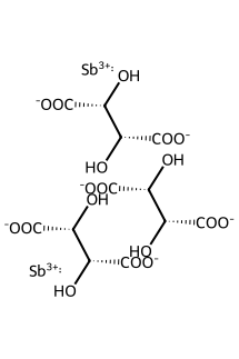 O=C([O-])[C@H](O)[C@@H](O)C(=O)[O-].O=C([O-])[C@H](O)[C@@H](O)C(=O)[O-].O=C([O-])[C@H](O)[C@@H](O)C(=O)[O-].[Sb+3].[Sb+3]